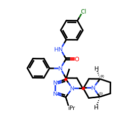 Cc1nnc(C(C)C)n1C1C[C@H]2CC[C@@H](C1)N2CCCN(C(=O)Nc1ccc(Cl)cc1)c1ccccc1